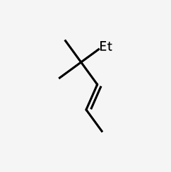 C/C=C/C(C)(C)CC